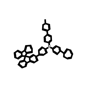 CC1C=CC(c2ccc(N(c3ccc(C4=CC=CC=CC4)cc3)c3ccc(-c4ccc5c(c4)C4(c6ccccc6-c6ccccc64)c4ccccc4-5)cc3)cc2)=CC1